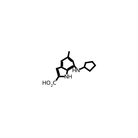 Cc1cc(NC2CCCC2)c2[nH]c(C(=O)O)cc2c1